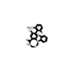 COc1cccc(F)c1-c1cc2c(cc1Cl)C(=O)NCOCN2c1ccccc1C(C)C